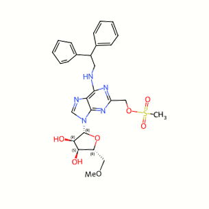 COC[C@H]1O[C@@H](n2cnc3c(NCC(c4ccccc4)c4ccccc4)nc(COS(C)(=O)=O)nc32)[C@H](O)[C@@H]1O